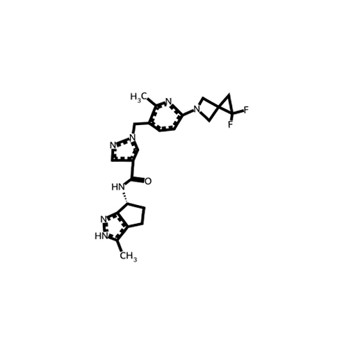 Cc1nc(N2CC3(C2)CC3(F)F)ccc1Cn1cc(C(=O)N[C@@H]2CCc3c2n[nH]c3C)cn1